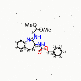 COC(CNC1=Nc2ccccc2CC[C@@H]1NC(=O)OCc1ccccc1)OC